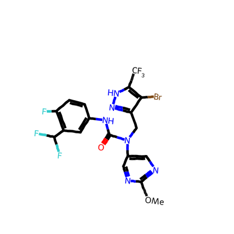 COc1ncc(N(Cc2n[nH]c(C(F)(F)F)c2Br)C(=O)Nc2ccc(F)c(C(F)F)c2)cn1